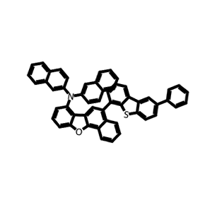 c1ccc(-c2ccc3sc4c(-c5cc6c(oc7cccc(N(c8ccc9ccccc9c8)c8ccc9ccccc9c8)c76)c6ccccc56)cccc4c3c2)cc1